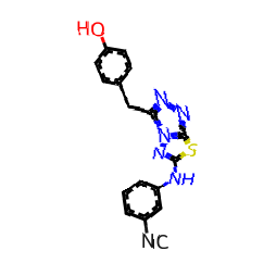 [C-]#[N+]c1cccc(Nc2nn3c(Cc4ccc(O)cc4)nnc3s2)c1